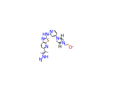 C=NN/C(C)=C(\C)c1ccc2nc(Nc3cc(N4C[C@@H]5C[C@H]4CN5CCOC)ccn3)sc2n1